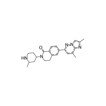 Cc1cn2nc(-c3ccc4c(c3)CCN(C3CCNC(C)C3)C4=O)cc(C)c2n1